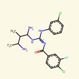 CC(C(N)N/C(=N\C(=O)c1ccc(Cl)c(F)c1)Nc1cccc(Cl)c1)C(N)C(F)(F)F